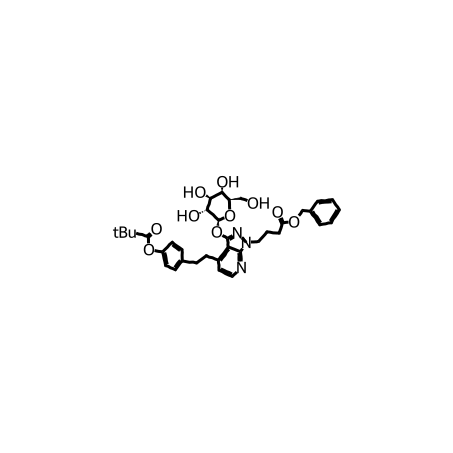 CC(C)(C)C(=O)Oc1ccc(CCc2ccnc3c2c(O[C@@H]2O[C@H](CO)[C@@H](O)[C@H](O)[C@H]2O)nn3CCCC(=O)OCc2ccccc2)cc1